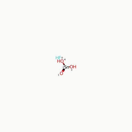 F.[O]=[Sn]([OH])[OH]